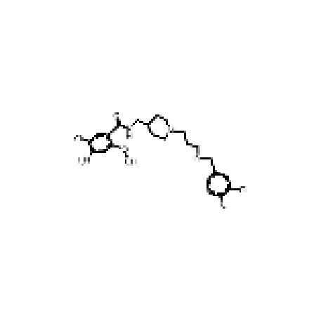 COc1cc(N)c(Cl)cc1C(=O)NCC1CCN(CCCNCc2ccc(Cl)c(Cl)c2)CC1